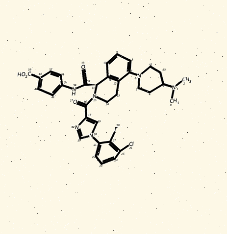 CN(C)C1CCN(c2cccc3c2CCN(C(=O)c2cn(-c4cccc(Cl)c4F)cn2)[C@H]3C(=O)Nc2ccc(C(=O)O)cc2)CC1